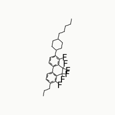 CCCCCC1CCC(c2ccc3c(c2F)C(F)(F)C(F)(F)c2c-3ccc(CCC)c2F)CC1